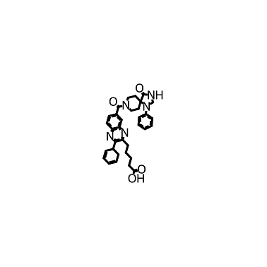 O=C(O)CCCCc1nc2cc(C(=O)N3CCC4(CC3)C(=O)NCN4c3ccccc3)ccc2nc1C1C=CC=CC1